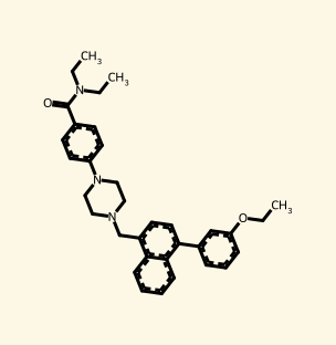 CCOc1cccc(-c2ccc(CN3CCN(c4ccc(C(=O)N(CC)CC)cc4)CC3)c3ccccc23)c1